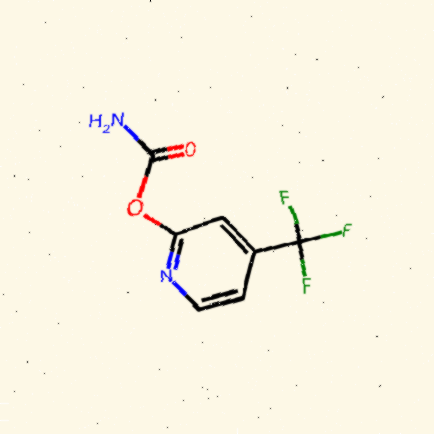 NC(=O)Oc1cc(C(F)(F)F)ccn1